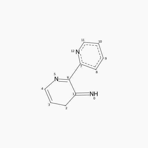 N=C1CC=CN=C1c1ccccn1